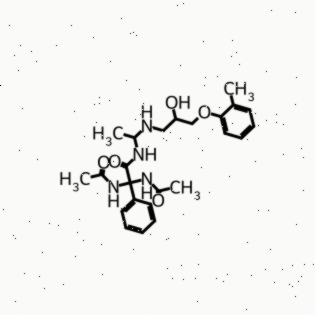 CC(=O)NC(NC(C)=O)(C(=O)NC(C)NCC(O)COc1ccccc1C)c1ccccc1